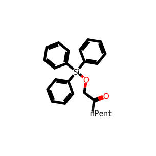 CCCCCC(=O)CO[Si](c1ccccc1)(c1ccccc1)c1ccccc1